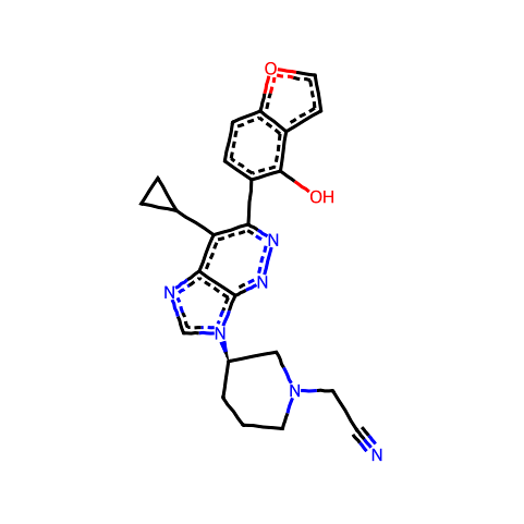 N#CCN1CCC[C@@H](n2cnc3c(C4CC4)c(-c4ccc5occc5c4O)nnc32)C1